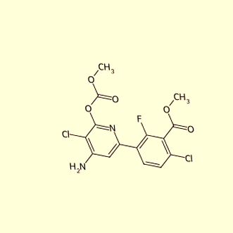 COC(=O)Oc1nc(-c2ccc(Cl)c(C(=O)OC)c2F)cc(N)c1Cl